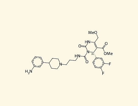 COCC1=C(C(=O)OC)[C@H](c2ccc(F)c(F)c2)N(C(=O)NCCCN2CCC(c3cccc(N)c3)CC2)C(=O)N1